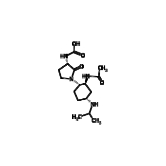 CC(=O)N[C@H]1C[C@H](NC(C)C)CC[C@@H]1N1CC[C@H](NC(=O)O)C1=O